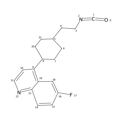 O=C=NCCC1CCC(c2ccnc3ccc(F)cc23)CC1